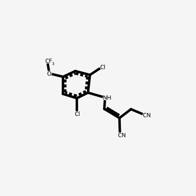 N#CCC(C#N)=CNc1c(Cl)cc(OC(F)(F)F)cc1Cl